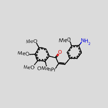 CCCC(=Cc1ccc(N)c(OC)c1)C(=O)c1cc(OC)c(OC)c(OC)c1OC